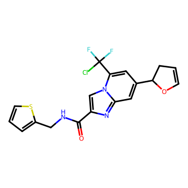 O=C(NCc1cccs1)c1cn2c(C(F)(F)Cl)cc(C3CC=CO3)cc2n1